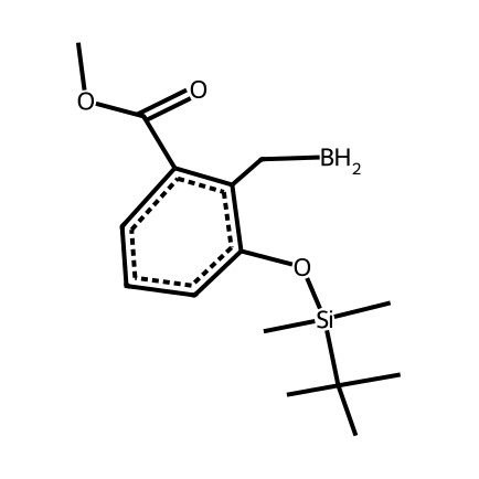 BCc1c(O[Si](C)(C)C(C)(C)C)cccc1C(=O)OC